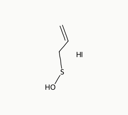 C=CCSO.I